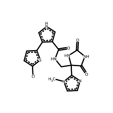 Cn1ccnc1C1(CNC(=O)c2c[nH]cc2-c2ccc(Cl)s2)NC(=O)NC1=O